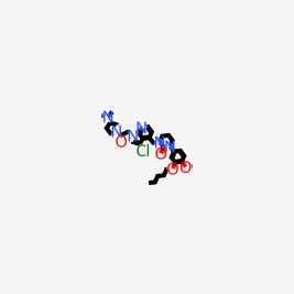 CCCCCOc1cc(N2CCCN(Cc3ccnc4c3c(Cl)cn4CC(=O)N3CCC(N(C)C)C3)C2=O)ccc1OC